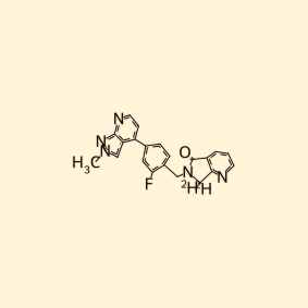 [2H]C1([2H])c2ncccc2C(=O)N1Cc1ccc(-c2ccnc3nn(C)cc23)cc1F